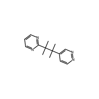 CC(C)(c1ccnnc1)C(C)(C)c1ncccn1